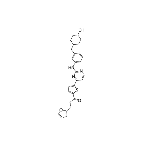 O=C(CCc1ccco1)c1ccc(-c2ccnc(Nc3cccc(CC4CCC(O)CC4)c3)n2)s1